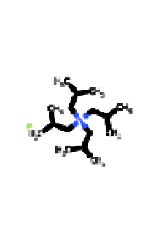 CC(C)C[N+](CC(C)C)(CC(C)C)CC(C)C.[F-]